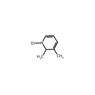 CCN1C=CC=C(C)C1C